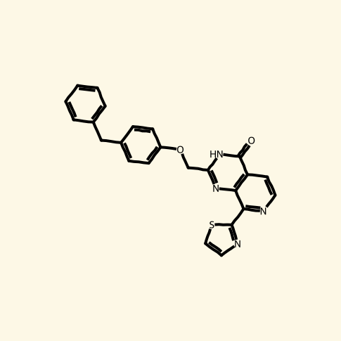 O=c1[nH]c(COc2ccc(Cc3ccccc3)cc2)nc2c(-c3nccs3)nccc12